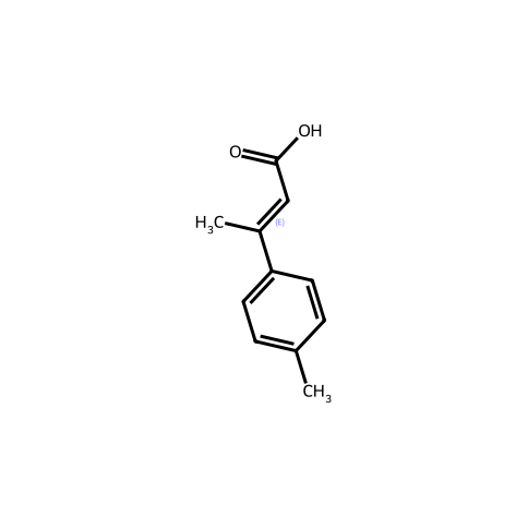 C/C(=C\C(=O)O)c1ccc(C)cc1